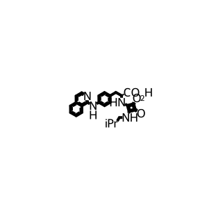 CC(C)CNc1c(N[C@@H](Cc2ccc(Nc3nccc4ccccc34)cc2)C(=O)O)c(=O)c1=O